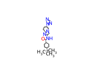 CC(C)(C)c1ccc(C(=O)Nc2cn3cc(-n4cncn4)ccc3n2)cc1